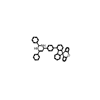 C1=C(c2ccccc2)NC(c2ccccc2)NC1c1ccc(-c2cccc3c2-c2ccccc2C32c3ccccc3Oc3ccccc32)cc1